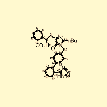 CCCCc1nn(CC(C(=O)O)c2ccccc2)c(=O)n1Cc1ccc(-c2ccccc2-c2nnn[nH]2)cc1